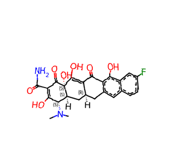 CN(C)[C@@H]1C(O)=C(C(N)=O)C(=O)[C@@]2(O)C(O)=C3C(=O)c4c(cc5ccc(F)cc5c4O)C[C@H]3C[C@@H]12